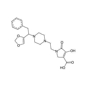 O=C(O)C1=C(O)C(=O)N(CCN2CCN(C(Cc3ccccc3)C3=COCO3)CC2)C1